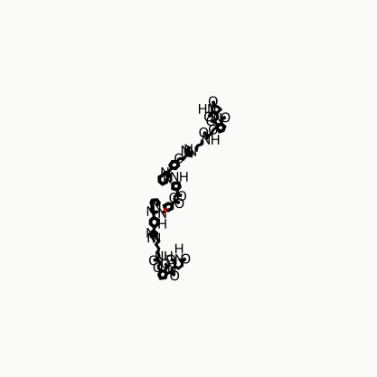 O=C(COc1cccc2c1C(=O)N(C1CCC(=O)NC1=O)C2=O)NCCCCn1cc(COc2ccc(-c3nc4ccccn4c3Nc3ccc(C(=O)OC(=O)c4ccc(Nc5c(-c6ccc(-c7cn(CCCCNC(=O)COc8cccc9c8C(=O)N(C8CCC(=O)NC8=O)C9=O)nn7)cc6)nc6ccccn56)cc4)cc3)cc2)nn1